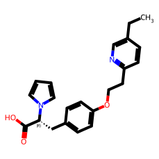 CCc1ccc(CCOc2ccc(C[C@H](C(=O)O)n3cccc3)cc2)nc1